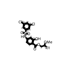 CCC(COC(=O)c1ccc(NS(=O)(=O)c2cc(Cl)cc(Cl)c2)cc1O)OC